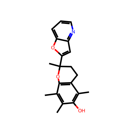 Cc1c(C)c2c(c(C)c1O)CCC(C)(c1cc3ncccc3o1)O2